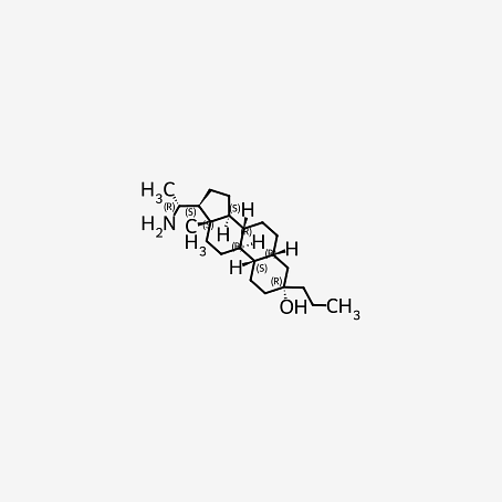 CCC[C@@]1(O)CC[C@H]2[C@H](CC[C@@H]3[C@@H]2CC[C@]2(C)[C@@H]([C@@H](C)N)CC[C@@H]32)C1